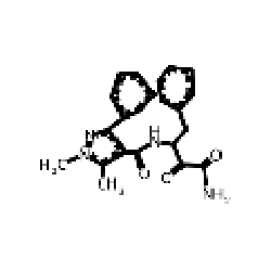 Cc1c(C(=O)NC(Cc2ccccc2)C(=O)C(N)=O)c(-c2ccccc2)nn1C